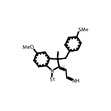 CCN1/C(=C\C=N)C(C)(Cc2ccc(SC)cc2)c2cc(OC)ccc21